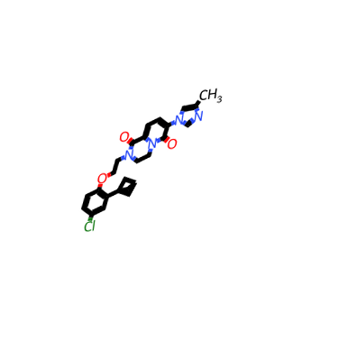 Cc1cn(-c2ccc3n(c2=O)CCN(CCOc2ccc(Cl)cc2C24CC(C2)C4)C3=O)cn1